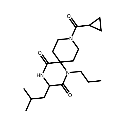 CCCN1C(=O)C(CC(C)C)NC(=O)C12CCN(C(=O)C1CC1)CC2